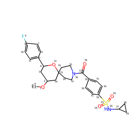 CCOC1CC(c2ccc(F)cc2)OC2(CCN(C(=O)c3ccc(S(=O)(=O)NC4CC4)cc3)CC2)C1